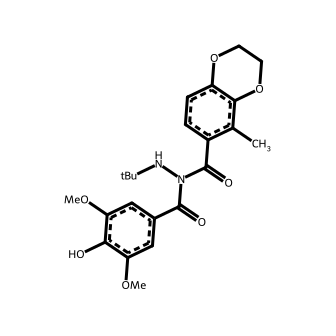 COc1cc(C(=O)N(NC(C)(C)C)C(=O)c2ccc3c(c2C)OCCO3)cc(OC)c1O